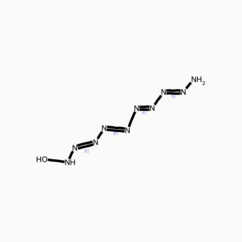 N/N=N/N=N/N=N/N=N/NO